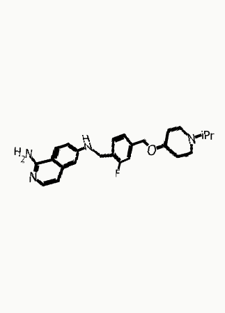 CC(C)N1CCC(OCc2ccc(CNc3ccc4c(N)nccc4c3)c(F)c2)CC1